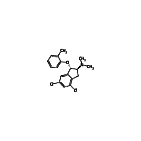 Cc1ccccc1O[C@H]1c2cc(Cl)cc(Cl)c2C[C@@H]1N(C)C